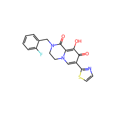 O=C1c2c(O)c(=O)c(-c3nccs3)cn2CCN1Cc1ccccc1F